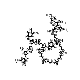 CC[C@H]1O[C@@H](n2cnc3c(=O)[nH]c(N)nc32)CC1OP(O)(=S)OC[C@H]1O[C@@H](n2cnc3c(=O)[nH]c(N)nc32)CC1OP(O)(=S)OC[C@H]1O[C@@H](n2cnc3c(=O)[nH]c(N)nc32)CC1OP(=O)(O)OCCCOP(=O)(O)OCCCOP(=O)(O)OCCCOP(=O)(O)OCCCOP(=O)(O)OCCCOP(=O)(O)OC[C@H]1O[C@@H](n2ccc(N)nc2=O)[C@@H](OC)C1OP(O)(=S)OC